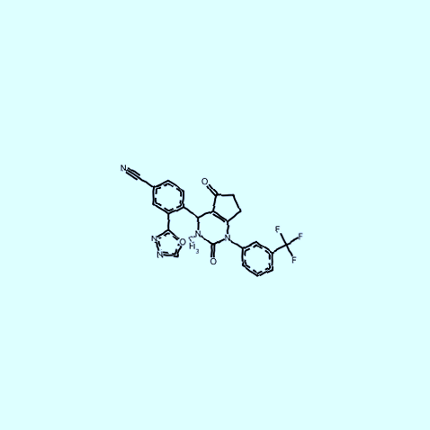 CN1C(=O)N(c2cccc(C(F)(F)F)c2)C2=C(C(=O)CC2)C1c1ccc(C#N)cc1-c1nnco1